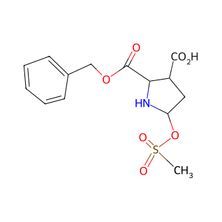 CS(=O)(=O)OC1CC(C(=O)O)C(C(=O)OCc2ccccc2)N1